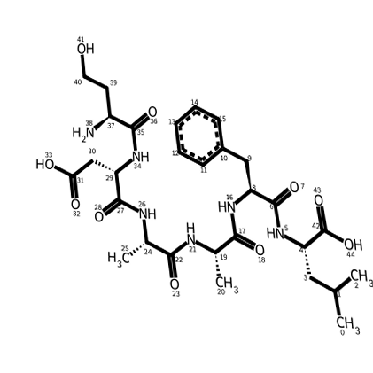 CC(C)C[C@H](NC(=O)[C@H](Cc1ccccc1)NC(=O)[C@H](C)NC(=O)[C@H](C)NC(=O)[C@H](CC(=O)O)NC(=O)[C@@H](N)CCO)C(=O)O